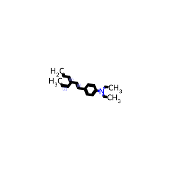 C=C/C=C(\C=C/C)/C=C/c1ccc(N(CC)CC)cc1